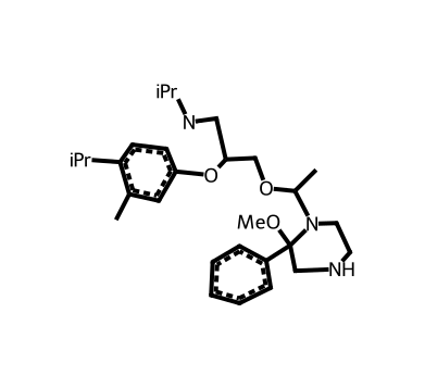 COC1(c2ccccc2)CNCCN1C(C)OCC(C[N]C(C)C)Oc1ccc(C(C)C)c(C)c1